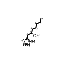 CCCCC[C@@H](O)Cc1nnn[nH]1